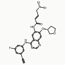 C#Cc1cc(F)cc(Nc2ncnc3cc(O[C@H]4CCOC4)c(NC(=O)/C=C/CN(CC)CC)cc23)c1